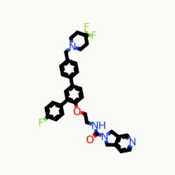 O=C(NCCOc1ccc(-c2ccc(CN3CCC(F)(F)CC3)cc2)cc1-c1ccc(F)cc1)N1Cc2ccncc2C1